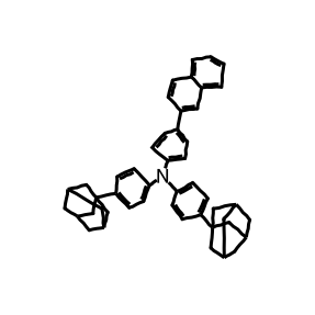 c1ccc2cc(-c3ccc(N(c4ccc(C56CC7CC(CC(C7)C5)C6)cc4)c4ccc(C56CC7CC(CC(C7)C5)C6)cc4)cc3)ccc2c1